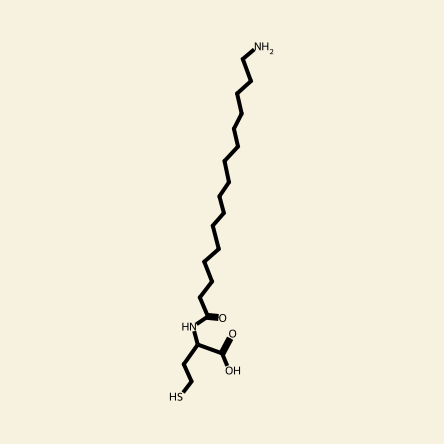 NCCCCCCCCCCCCCCCC(=O)NC(CCS)C(=O)O